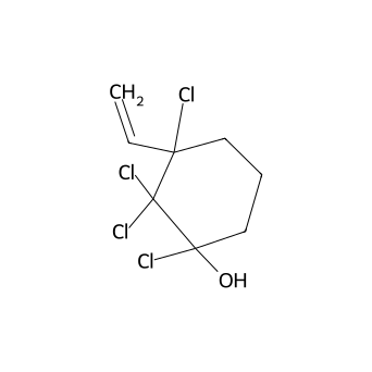 C=CC1(Cl)CCCC(O)(Cl)C1(Cl)Cl